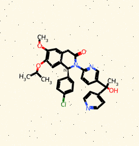 COc1cc2c(cc1OC(C)C)[C@H](c1ccc(Cl)cc1)N(c1ccc(C(C)(O)c3ccncc3)cn1)C(=O)C2